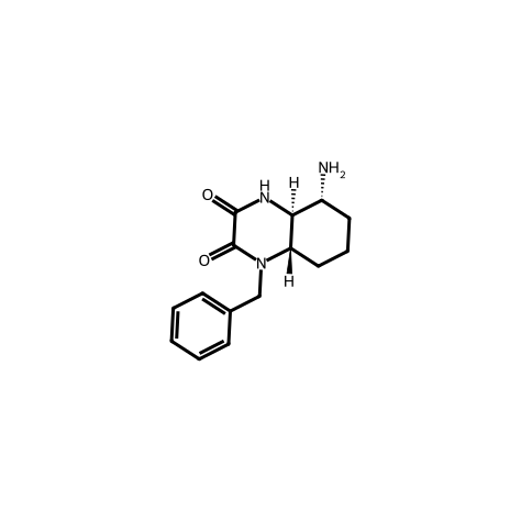 N[C@@H]1CCC[C@H]2[C@H]1NC(=O)C(=O)N2Cc1ccccc1